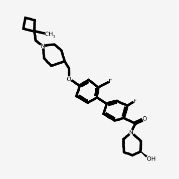 CC1(CN2CCC(COc3ccc(-c4ccc(C(=O)N5CCC[C@H](O)C5)c(F)c4)c(F)c3)CC2)CCC1